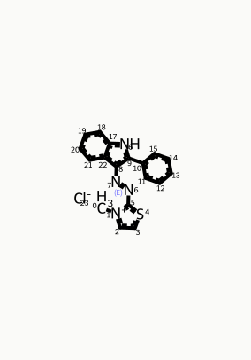 C[n+]1ccsc1/N=N/c1c(-c2ccccc2)[nH]c2ccccc12.[Cl-]